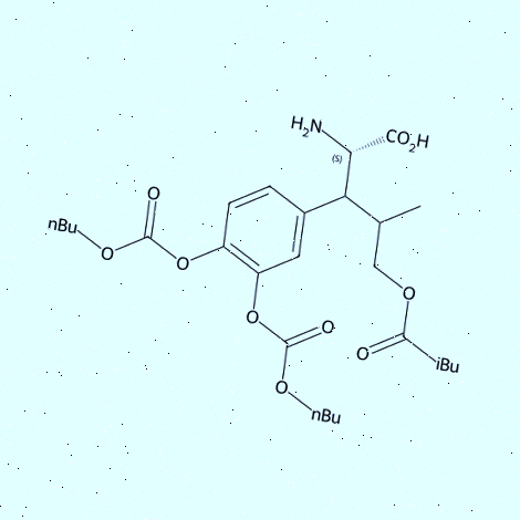 CCCCOC(=O)Oc1ccc(C(C(C)COC(=O)C(C)CC)[C@H](N)C(=O)O)cc1OC(=O)OCCCC